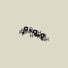 [2H]C([2H])(c1ccnc2[nH]ccc12)n1ccc2c(NC(=O)Nc3ccccc3OC(F)(F)F)cccc21